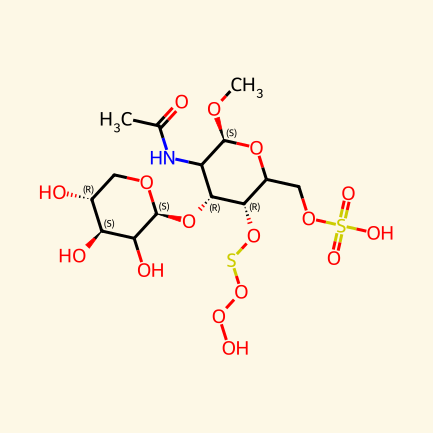 CO[C@H]1OC(COS(=O)(=O)O)[C@H](OSOOO)[C@H](O[C@@H]2OC[C@@H](O)[C@H](O)C2O)C1NC(C)=O